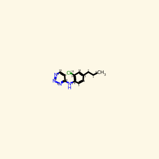 CCCc1ccc(Nc2ccnnn2)c(Cl)c1